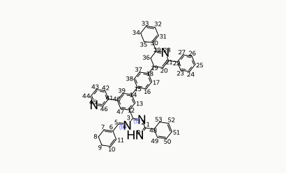 N=C(/N=C(\N=C\C1=CCCC=C1)c1cc(-c2ccc(C3C=C(c4ccccc4)N=C(C4=CC=CCC4)C3)cc2)cc(-c2cccnc2)c1)C1C=CC=CC1